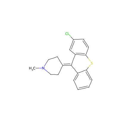 CN1CCC(=C2c3ccccc3Sc3ccc(Cl)cc32)CC1